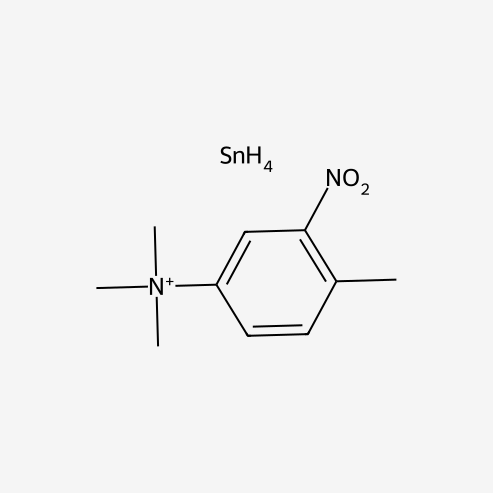 Cc1ccc([N+](C)(C)C)cc1[N+](=O)[O-].[SnH4]